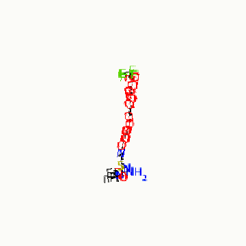 CCCN(OCC)C(=O)C1=Cc2sc(CCC3CN(CCOCCOCCOCCOCCOCCCCCOCCOCCOCCOCCC(=O)Oc4c(F)c(F)cc(F)c4F)C3)cc2N=C(N)C1